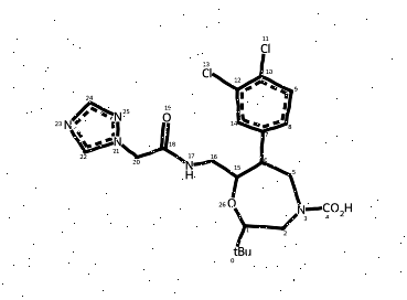 CC(C)(C)C1CN(C(=O)O)CC(c2ccc(Cl)c(Cl)c2)C(CNC(=O)Cn2cncn2)O1